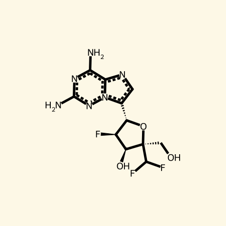 Nc1nc(N)c2ncc([C@@H]3O[C@@](CO)(C(F)F)[C@@H](O)[C@H]3F)n2n1